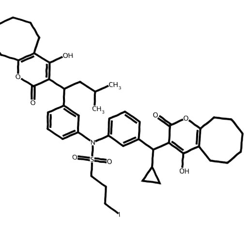 CC(C)CC(c1cccc(N(c2cccc(C(c3c(O)c4c(oc3=O)CCCCCC4)C3CC3)c2)S(=O)(=O)CCCI)c1)c1c(O)c2c(oc1=O)CCCCCC2